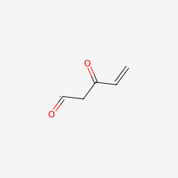 C=CC(=O)C[C]=O